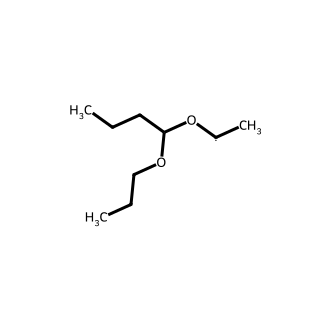 C[CH]OC(CCC)OCCC